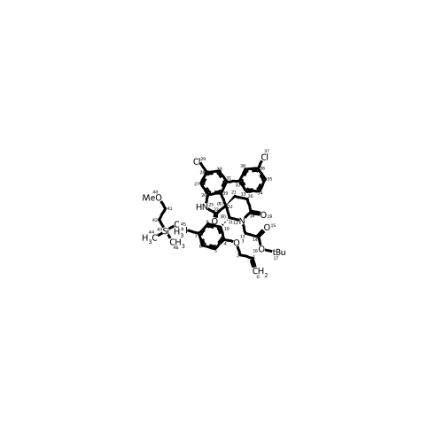 C=CCOc1ccc(I)cc1[C@H]1N(CC(=O)OC(C)(C)C)C(=O)CC[C@]12C(=O)Nc1cc(Cl)cc(-c3cccc(Cl)c3)c12.COCC[Si](C)(C)C